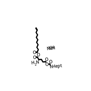 C=CCCCCCCCCC(=O)OC(=O)C(N)CCC(=O)OC(=O)CCCCCCC.[KH].[NaH]